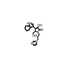 O=C1C(O)=C(c2c[nH]c3ccccc23)C(CO)N1CCCn1ccnc1